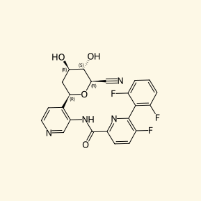 N#C[C@H]1O[C@@H](c2ccncc2NC(=O)c2ccc(F)c(-c3c(F)cccc3F)n2)C[C@@H](O)[C@@H]1O